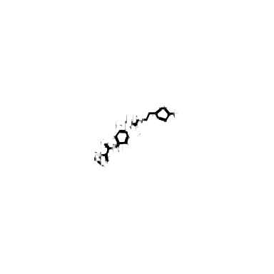 O=C(Nc1ccc(NC(=S)NCCc2ccc(F)cc2)cc1)c1csnn1